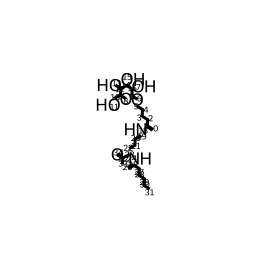 C=C(CCCCOC1OC(CO)C(O)C(O)C1O)NCCCC[C@H](NC(=C)CCCCC)C(C)=O